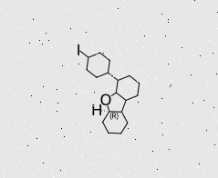 IC1CCC(C2CCCC3C2O[C@@H]2CCCCC32)CC1